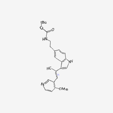 COc1ccncc1/C=C(\C#N)c1c[nH]c2ccc(CCNC(=O)OC(C)(C)C)cc12